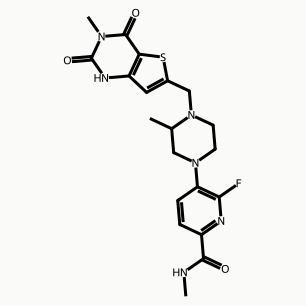 CNC(=O)c1ccc(N2CCN(Cc3cc4[nH]c(=O)n(C)c(=O)c4s3)C(C)C2)c(F)n1